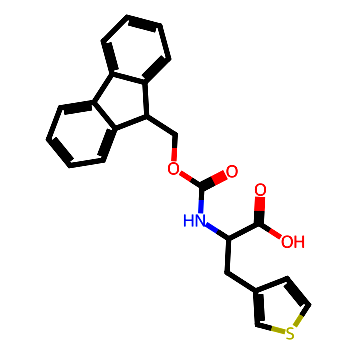 O=C(NC(Cc1ccsc1)C(=O)O)OCC1c2ccccc2-c2ccccc21